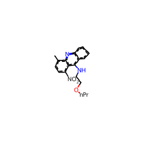 CCCOCCNc1c2ccccc2nc2c(C)ccc([N+](=O)[O-])c12